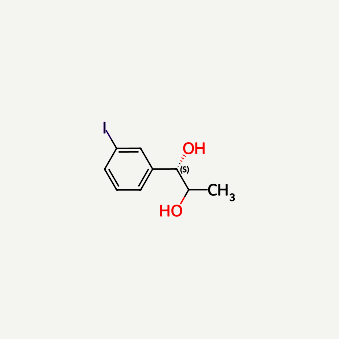 CC(O)[C@@H](O)c1cccc(I)c1